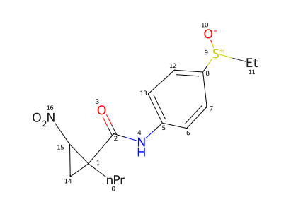 CCCC1(C(=O)Nc2ccc([S+]([O-])CC)cc2)CC1[N+](=O)[O-]